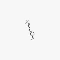 COC1CCN(CCCOC(C)(C)C)C1